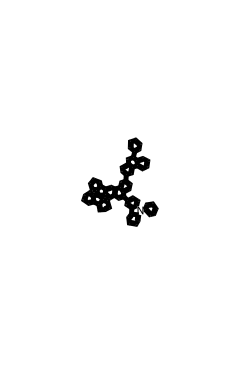 c1ccc(C2Cc3ccc(-c4ccc5c(-c6ccc7c(c6)c6ccccc6n7-c6ccccc6)cc6cc7c(cc6c5c4)-c4ccccc4C74c5ccccc5-c5ccccc54)cc3-c3ccccc32)cc1